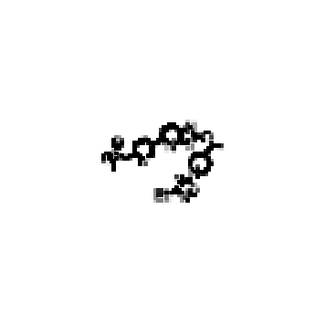 CCc1noc(N2CCC(C(C)Oc3nc4ccc(-c5ccc(C[SH](=O)=O)nc5)nc4s3)CC2)n1